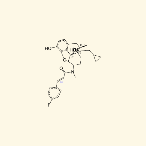 CN(C(=O)/C=C/c1ccc(F)cc1)C1CC[C@@]2(O)[C@H]3Cc4ccc(O)c5c4[C@@]2(CCN3CC2CC2)C1O5